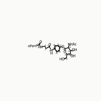 CCCCCC(=O)NCCC(=O)Nc1ccc(OC2OC(CO)C(O)C(O)C2NC(C)=O)cc1